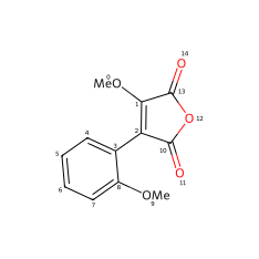 COC1=C(c2ccccc2OC)C(=O)OC1=O